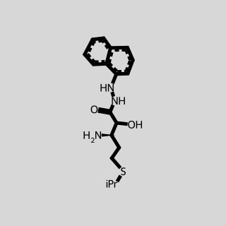 CC(C)SCC[C@@H](N)C(O)C(=O)NNc1cccc2ccccc12